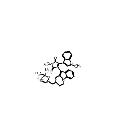 Cn1cc(C2=C(c3c4n(c5ccccc35)CCC(CN(C=O)OC(C)(C)C)C4)C(=O)N(O)C2=O)c2ccccc21